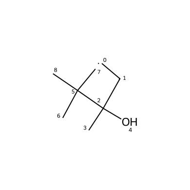 [CH2]CC(C)(O)C(C)(C)C